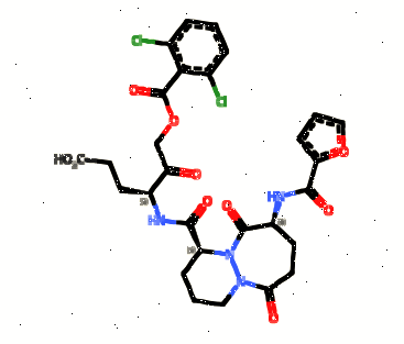 O=C(O)CC[C@H](NC(=O)[C@@H]1CCCN2C(=O)CC[C@H](NC(=O)c3ccco3)C(=O)N12)C(=O)COC(=O)c1c(Cl)cccc1Cl